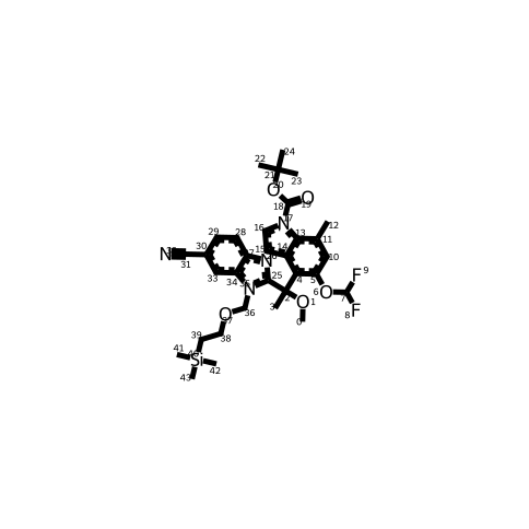 COC(C)(c1c(OC(F)F)cc(C)c2c1ccn2C(=O)OC(C)(C)C)c1nc2ccc(C#N)cc2n1COCC[Si](C)(C)C